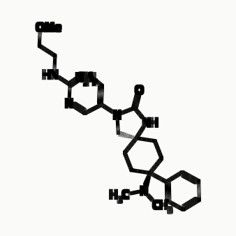 C=C(/N=C\C(=C/N)N1C[C@]2(CC[C@](c3ccccc3)(N(C)C)CC2)NC1=O)NCCOC